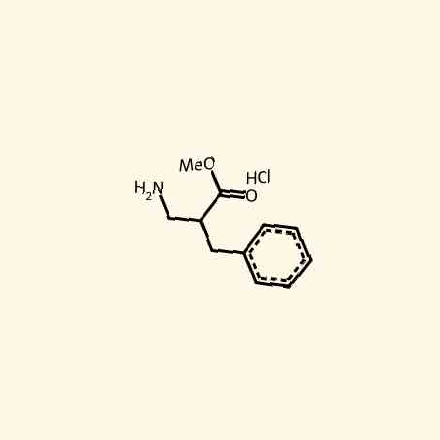 COC(=O)C(CN)Cc1ccccc1.Cl